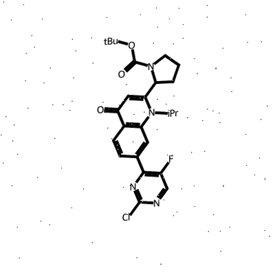 CC(C)n1c(C2CCCN2C(=O)OC(C)(C)C)cc(=O)c2ccc(-c3nc(Cl)ncc3F)cc21